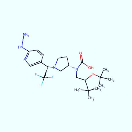 CC(C)(C)OC(CN(C(=O)O)[C@H]1CCN([C@H](c2ccc(NN)nc2)C(F)(F)F)C1)C(C)(C)C